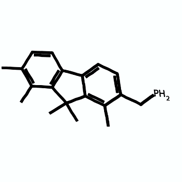 Cc1ccc2c(c1C)C(C)(C)c1c-2ccc(CP)c1C